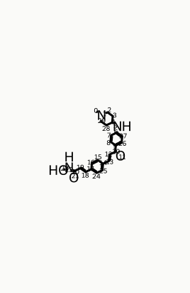 CN1CCC(Nc2ccc(C(=O)C=Cc3ccc(C=CC(=O)NO)cc3)cc2)CC1